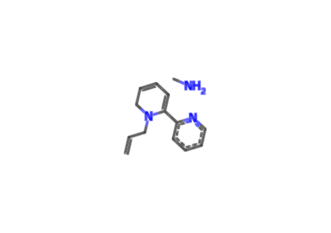 C=CCN1CC=CC=C1c1ccccn1.CN